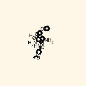 C=CC(=O)N1CCC(C(=O)Nc2sc3c(N)ccc4c3c2C(N)C(=O)C4(N)c2ccc(Oc3ccccc3)cc2C)CC1